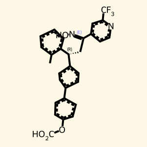 Cc1ccccc1[C@H](C/C(=N\O)c1ccnc(C(F)(F)F)c1)c1ccc(-c2ccc(OC(=O)O)cc2)cc1